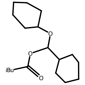 CCC(C)C(=O)OC(OC1CCCCC1)C1CCCCC1